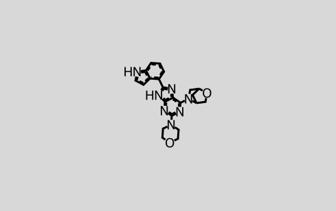 c1cc(-c2nc3c(N4CC5CC4CO5)nc(N4CCOCC4)nc3[nH]2)c2cc[nH]c2c1